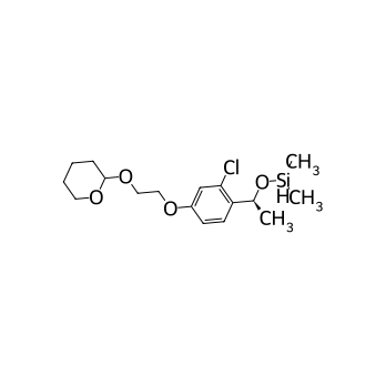 C[C@H](O[SiH](C)C)c1ccc(OCCOC2CCCCO2)cc1Cl